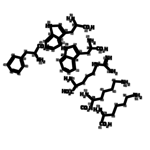 N=C(N)NCCCC(N)C(=O)O.NC(Cc1c[nH]c2ccccc12)C(=O)O.NC(Cc1c[nH]c2ccccc12)C(=O)O.NC(Cc1ccccc1)C(=O)O.NCCCCC(N)C(=O)O.NCCCCC(N)C(=O)O